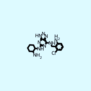 Nc1cccc(Cl)c1CNc1nc(NC2CCCCC2N)nc2[nH]nnc12